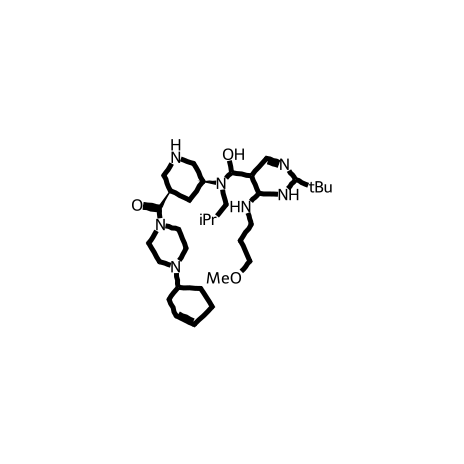 COCCCNC1NC(C(C)(C)C)N=CC1C(O)N(CC(C)C)[C@@H]1CNC[C@H](C(=O)N2CCN(C3CC=CCC3)CC2)C1